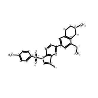 COc1cc(-c2cnc3c(n2)c(I)cn3S(=O)(=O)c2ccc(C)cc2)cc2c1CN(C)CC2